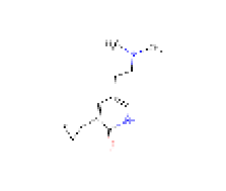 CN(C)CCc1c[nH]c(=O)c(C2CC2)c1